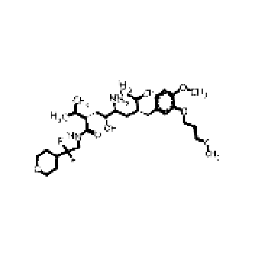 COCCCOc1cc(C[C@@H](C[C@H](N)[C@@H](O)C[C@H](C(=O)NCC(F)(F)C2CCOCC2)C(C)C)C(C)C)ccc1OC